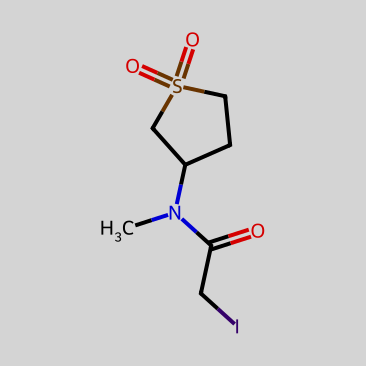 CN(C(=O)CI)C1CCS(=O)(=O)C1